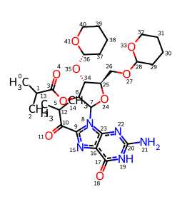 CC(C)C(=O)O[C@@H]1C(n2c(C(=O)C(C)C)nc3c(=O)[nH]c(N)nc32)O[C@H](COC2CCCCO2)[C@H]1O[C@H]1CCCCO1